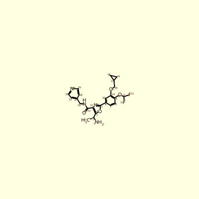 C[C@H](N)c1oc(-c2ccc(OC(F)F)c(OCC3CC3)c2)nc1C(=O)NCc1ccncc1